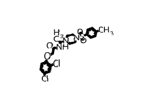 Cc1ccc(S(=O)(=O)N2CCN(C(C)NC(=O)COc3ccc(Cl)cc3Cl)CC2)cc1